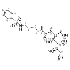 O=C(NCCCCNS(=O)(=O)c1ccccc1)N[C@@H](CO)[C@@H](O)[C@H](O)[C@H](O)CO